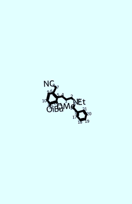 CCN(CCCc1c(CC#N)ccc(OCC(C)C)c1OC)Cc1ccccc1